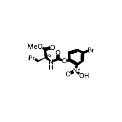 COC(=O)[C@H](CC(C)C)NC(=O)Cc1ccc(Br)cc1[N+](=O)O